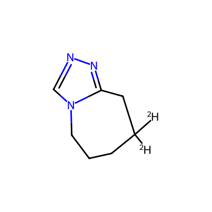 [2H]C1([2H])CCCn2cnnc2C1